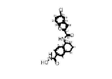 O=C(NO)c1ccc2c(c1)CCCC2NC(=O)c1cc2cc(Cl)ccc2o1